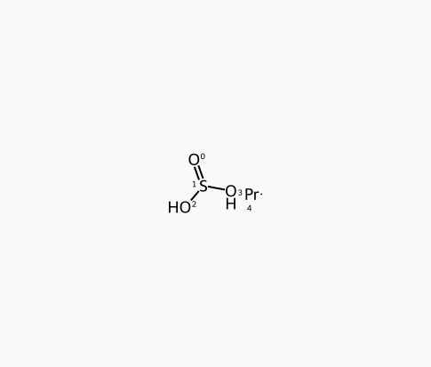 O=S(O)O.[Pr]